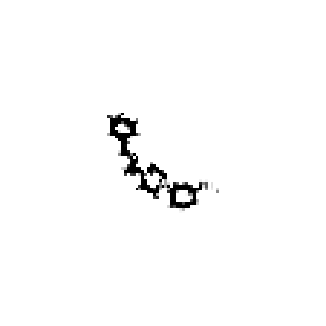 N[C@@H]1CCC[C@H](N2CCN(C(=O)OCc3ccccc3)CC2)C1